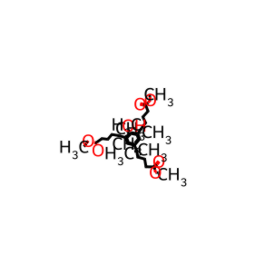 COC(=O)CCCC(C)(C)c1cc(C(C)(C)CCCC(=O)OC)c(O)c(C(C)(C)CCCC(=O)OC)c1